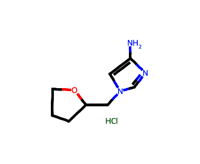 Cl.Nc1cn(CC2CCCO2)cn1